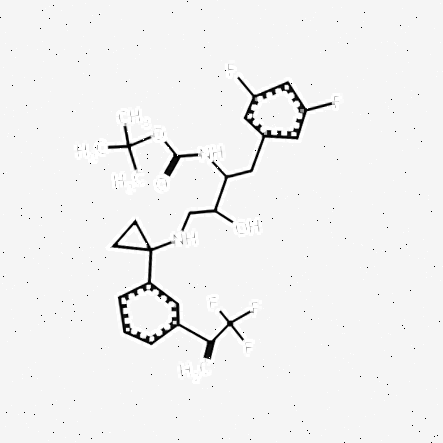 C=C(c1cccc(C2(NCC(O)C(Cc3cc(F)cc(F)c3)NC(=O)OC(C)(C)C)CC2)c1)C(F)(F)F